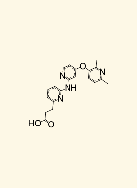 Cc1ccc(Oc2ccnc(Nc3cccc(CCC(=O)O)n3)c2)c(C)n1